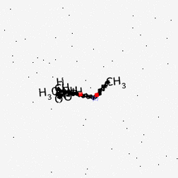 CCCCCCCC/C=C\CCCCCCCCNC(=O)NC1=NC(=O)CC(C)(C)N1